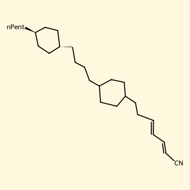 CCCCC[C@H]1CC[C@H](CCCCC2CCC(CCC=CC=CC#N)CC2)CC1